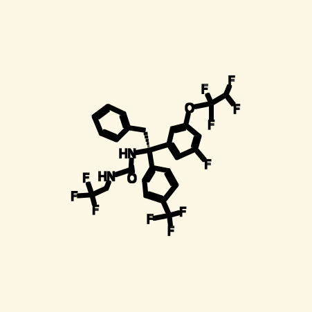 O=C(NCC(F)(F)F)N[C@](Cc1ccccc1)(c1ccc(C(F)(F)F)cc1)c1cc(F)cc(OC(F)(F)C(F)F)c1